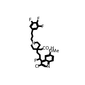 COc1ccc2ncc(Cl)c(C(F)CCC3(CC(=O)O)CCN(CCCc4cc(F)c(F)c(F)c4)CC3)c2c1